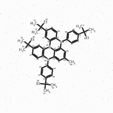 CCC(C)(C)c1ccc(N2c3ccc(C(C)(C)CC)cc3B3c4cc(C(C)(C)CC)ccc4N(c4ccc(C(C)(C)CC)cc4)c4cc(C)cc2c43)cc1